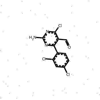 Nc1nc(Cl)c(C=O)c(-c2ccc(Cl)cc2Cl)n1